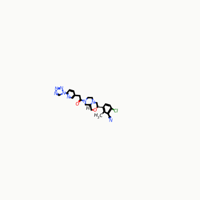 Cc1c([C@@H]2CN3CCN(C(=O)Cc4ccc(-n5cnnn5)nc4)C[C@H]3CO2)ccc(Cl)c1C#N